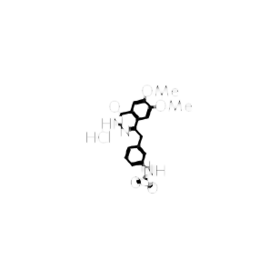 COc1cc2c(Cc3cccc(N[SH](=O)=O)c3)n[nH]c(=O)c2cc1OC.Cl